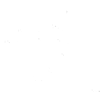 CNCCOCc1cccc(OCC(N)=O)c1-c1nc2ccc(F)cn2c1Nc1c(C)cccc1C